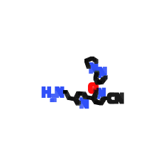 N#Cc1ccc(-c2ccc(CCN)cn2)c(Oc2ccnc(N3CCCC3)c2)n1